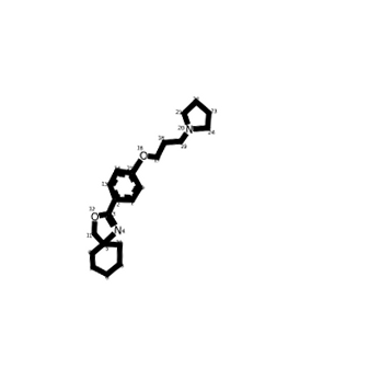 c1cc(C2=NC3(CCCCC3)CO2)ccc1OCCCN1CCCC1